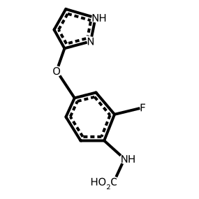 O=C(O)Nc1ccc(Oc2cc[nH]n2)cc1F